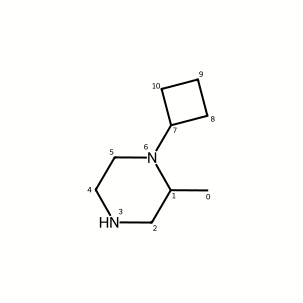 CC1CNCCN1C1CCC1